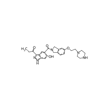 CCC(=O)c1n[nH]c2cc(O)c(C(=O)N3Cc4ccc(OCCN5CCNCC5)cc4C3)cc12